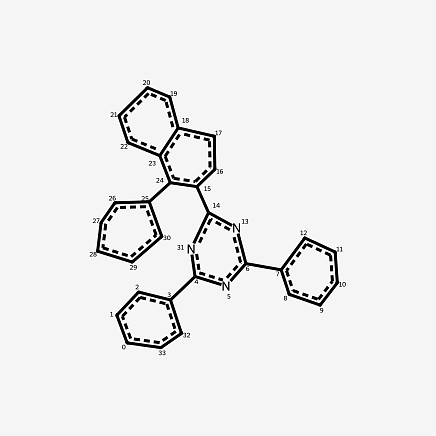 c1ccc(-c2nc(-c3ccccc3)nc(-c3ccc4ccccc4c3-c3ccccc3)n2)cc1